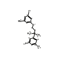 CC(C)(C)c1cc(F)cc(OCCC(C)(C)c2cc(F)cc(C(F)(F)F)c2)c1